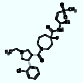 CC[C@H](/C=C\S(C)(=O)=O)NC(=O)[C@@]1(F)CCCN(C(=O)[C@H]2CN(CC(F)(F)F)C[C@H]2c2ccccc2Cl)CC1